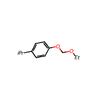 CCOCOc1ccc(C(C)C)cc1